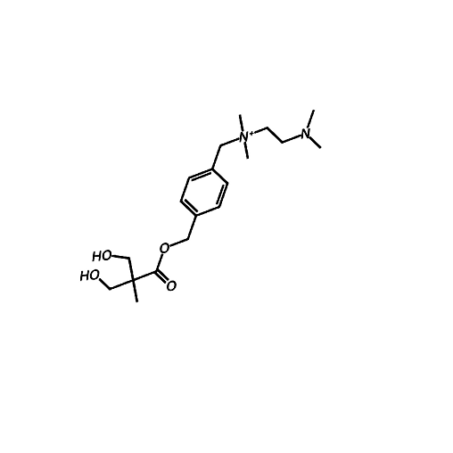 CN(C)CC[N+](C)(C)Cc1ccc(COC(=O)C(C)(CO)CO)cc1